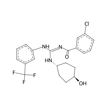 O=C(/N=C(/Nc1cccc(C(F)(F)F)c1)N[C@H]1CC[C@H](O)CC1)c1cccc(Cl)c1